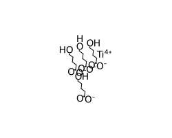 O=C([O-])CCCCO.O=C([O-])CCCCO.O=C([O-])CCCCO.O=C([O-])CCCCO.[Ti+4]